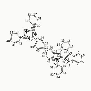 CC1(C)c2ccccc2-c2c1c1c(c3ccccc23)c2cc(-c3ccc(-c4nc(-c5ccccc5)nc(-c5ccccc5)n4)cc3)ccc2n1-c1ccccc1